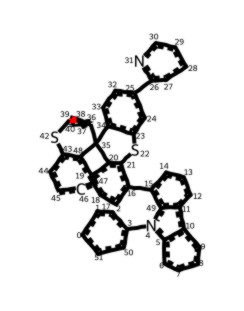 c1ccc(-n2c3ccccc3c3cccc(-c4cccc5c4Sc4cc(-c6ccccn6)ccc4C54c5ccccc5Sc5ccccc54)c32)cc1